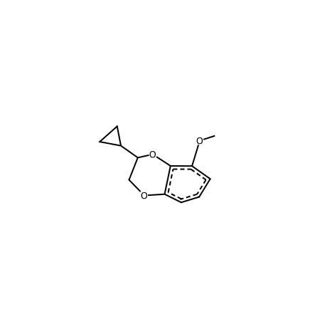 COc1cccc2c1OC(C1CC1)CO2